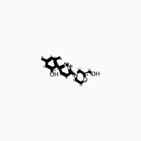 Cc1cc(C)c(-c2ccc(N3CCO[C@H](CO)C3)nn2)c(O)c1